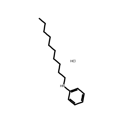 CCCCCCCCCCNc1ccccc1.Cl